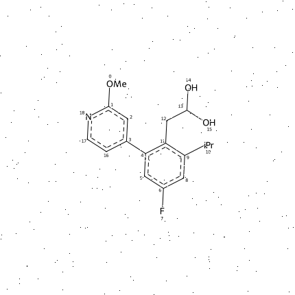 COc1cc(-c2cc(F)cc(C(C)C)c2CC(O)O)ccn1